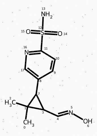 CC1(C)C(C=NO)C1c1ccc(S(N)(=O)=O)nc1